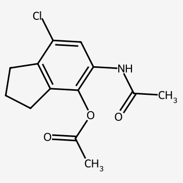 CC(=O)Nc1cc(Cl)c2c(c1OC(C)=O)CCC2